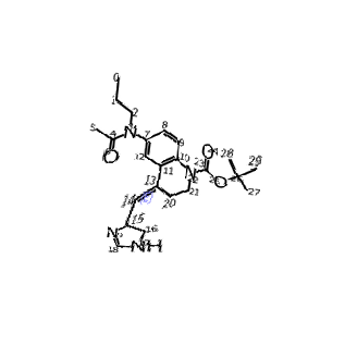 CCCN(C(C)=O)c1ccc2c(c1)/C(=C/C1CNC=N1)CCN2C(=O)OC(C)(C)C